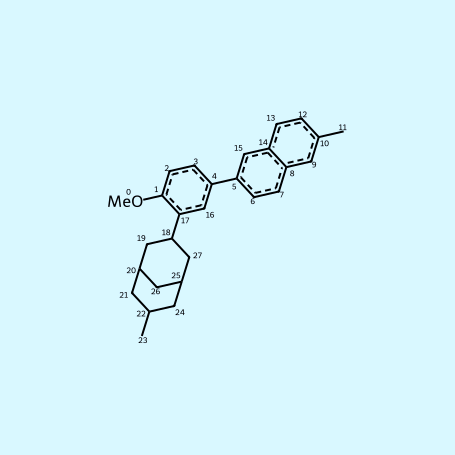 COc1ccc(-c2ccc3cc(C)ccc3c2)cc1C1CC2CC(C)CC(C2)C1